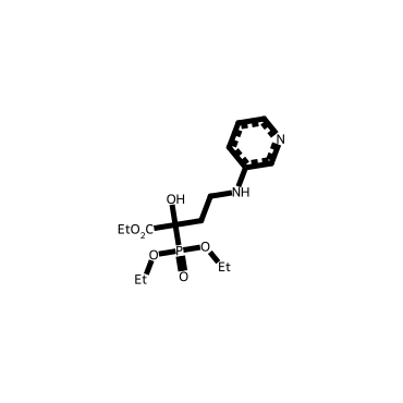 CCOC(=O)C(O)(CCNc1cccnc1)P(=O)(OCC)OCC